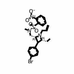 C=CCN1[C@H](CC)C(c2ccc(Br)cc2)[C@@H]1CN(C)S(=O)(=O)c1ccccc1[N+](=O)[O-]